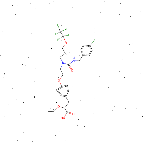 CCOC(Cc1ccc(OCCN(CCCOC(F)(F)C(F)(F)F)C(=O)NCc2ccc(F)cc2)cc1)C(=O)O